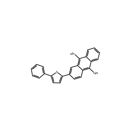 CCCc1c2ccccc2c(CCC)c2cc(-c3ccc(-c4ccccc4)s3)ccc12